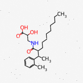 CCCCCCCCCC(C(=O)NCC(O)C(=O)O)C(C)c1ccccc1C